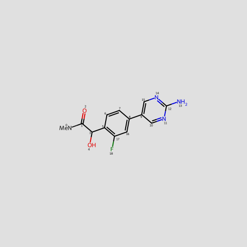 CNC(=O)C(O)c1ccc(-c2cnc(N)nc2)cc1F